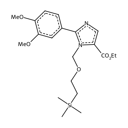 CCOC(=O)c1cnc(-c2ccc(OC)c(OC)c2)n1COCC[Si](C)(C)C